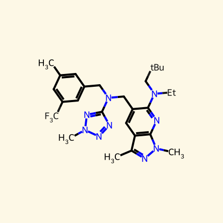 CCN(CC(C)(C)C)c1nc2c(cc1CN(Cc1cc(C)cc(C(F)(F)F)c1)c1nnn(C)n1)c(C)nn2C